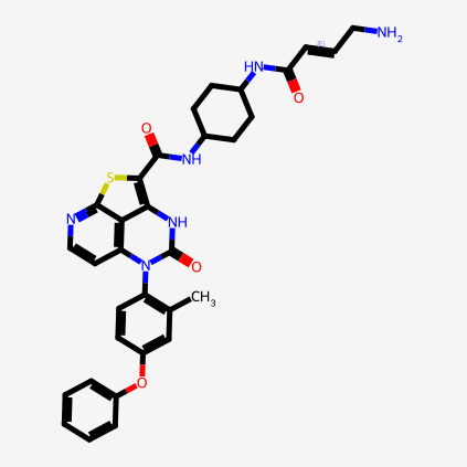 Cc1cc(Oc2ccccc2)ccc1N1C(=O)Nc2c(C(=O)NC3CCC(NC(=O)/C=C/CN)CC3)sc3nccc1c23